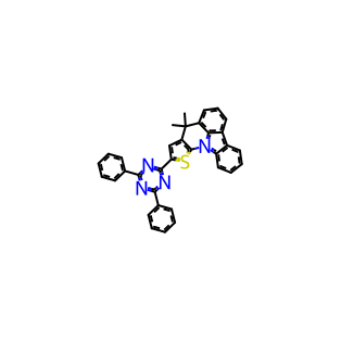 CC1(C)c2cc(-c3nc(-c4ccccc4)nc(-c4ccccc4)n3)sc2-n2c3ccccc3c3cccc1c32